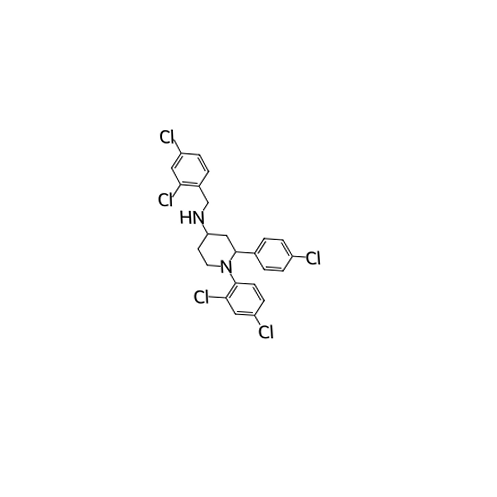 Clc1ccc(C2CC(NCc3ccc(Cl)cc3Cl)CCN2c2ccc(Cl)cc2Cl)cc1